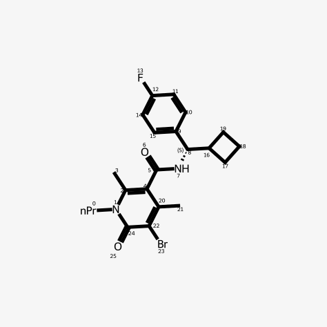 CCCn1c(C)c(C(=O)N[C@H](c2ccc(F)cc2)C2CCC2)c(C)c(Br)c1=O